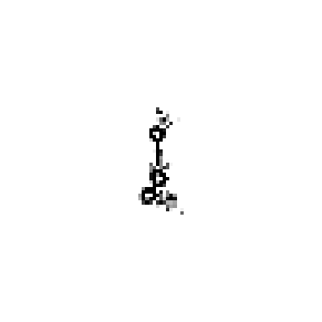 O=S(=O)(Nc1ccc(C#Cc2nc3cc(-c4ccccc4NS(=O)(=O)C(F)(F)F)ccc3[nH]2)cc1)C(F)(F)F